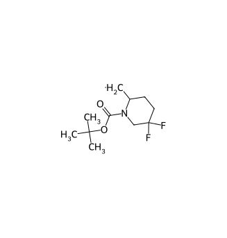 [CH2]C1CCC(F)(F)CN1C(=O)OC(C)(C)C